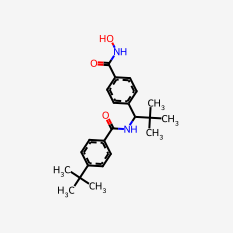 CC(C)(C)c1ccc(C(=O)NC(c2ccc(C(=O)NO)cc2)C(C)(C)C)cc1